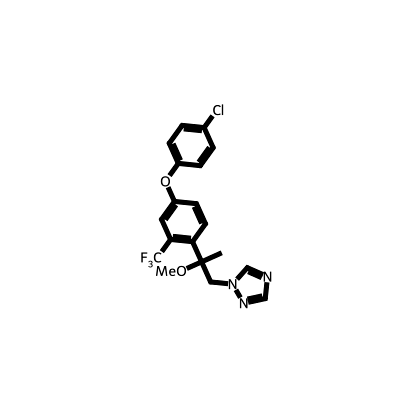 COC(C)(Cn1cncn1)c1ccc(Oc2ccc(Cl)cc2)cc1C(F)(F)F